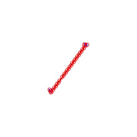 O=C(CCOCCOCCOCCOCCOCCOCCCCCOCCOCCOCCOCCOCCOCCOCCOCCOCCOCCOCCOCCOCCOCCOCCOCCOCCOCCC(=O)ON1C(=O)CCC1=O)ON1C(=O)CCC1=O